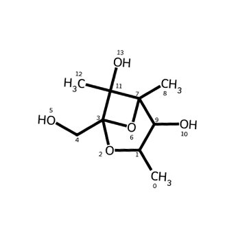 CC1OC2(CO)OC(C)(C1O)C2(C)O